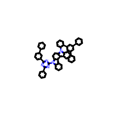 c1ccc(-c2cccc(-c3nc(-c4ccccc4)nc(-n4c5ccccc5c5c6c7ccccc7n(-c7ccccc7-c7cc(-c8ccccc8)cc(-c8ccccc8)c7)c6ccc54)n3)c2)cc1